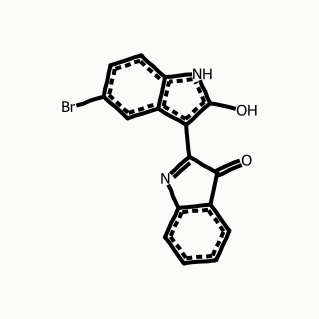 O=C1C(c2c(O)[nH]c3ccc(Br)cc23)=Nc2ccccc21